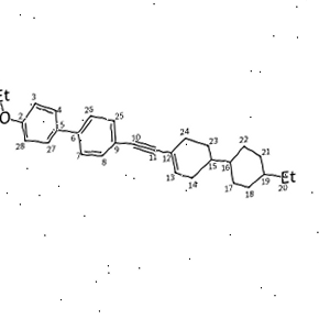 CCOc1ccc(-c2ccc(C#CC3=CCC(C4CCC(CC)CC4)CC3)cc2)cc1